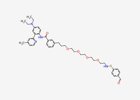 CCN(CC)c1ccc(NC(=O)c2cccc(CCCOCCOCCOCCOCCNSc3ccc(C=O)cc3)c2)c(-c2cc(C)ccn2)c1